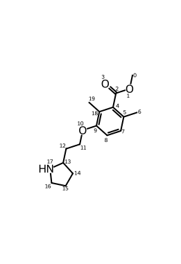 COC(=O)c1c(C)ccc(OCCC2CCCN2)c1C